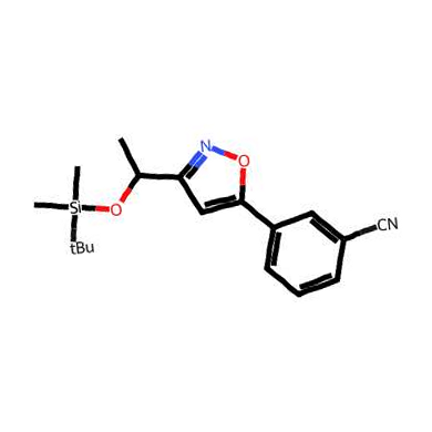 CC(O[Si](C)(C)C(C)(C)C)c1cc(-c2cccc(C#N)c2)on1